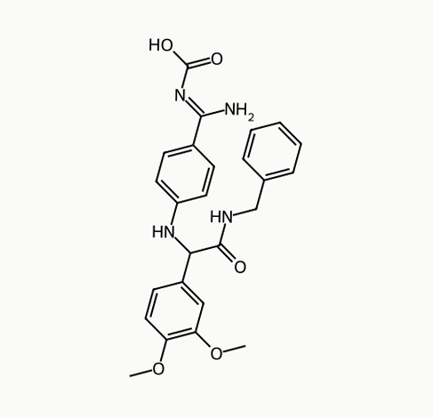 COc1ccc(C(Nc2ccc(/C(N)=N/C(=O)O)cc2)C(=O)NCc2ccccc2)cc1OC